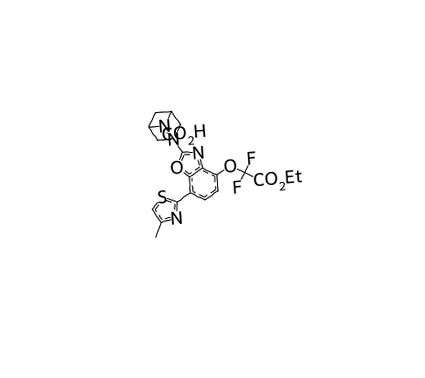 CCOC(=O)C(F)(F)Oc1ccc(-c2nc(C)cs2)c2oc(N3CC4CC(C3)N4C(=O)O)nc12